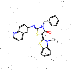 CN1/C(=C2/SC(=Nc3ccc4ncccc4c3)N(Cc3ccccc3)C2=O)Sc2ccccc21